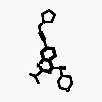 CN(C)c1nc(NC2CCOCC2)c2ccc(C#CCN3CCCC3)cc2n1